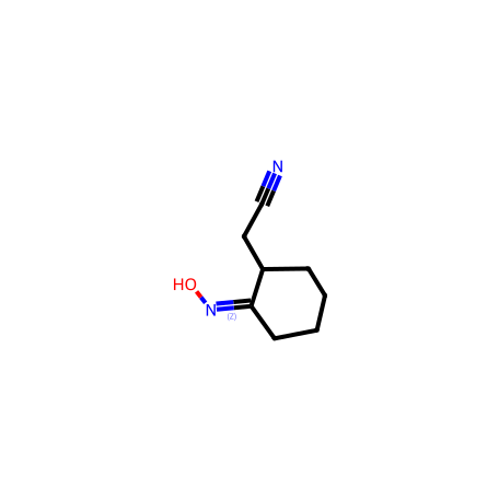 N#CCC1CCCC/C1=N/O